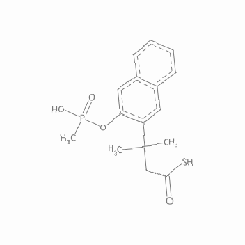 CC(C)(CC(=O)S)c1cc2ccccc2cc1OP(C)(=O)O